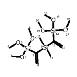 C=C([Si](OC)(OC)OC)[Si](C)(C)C(=C)[Si](OC)(OC)OC